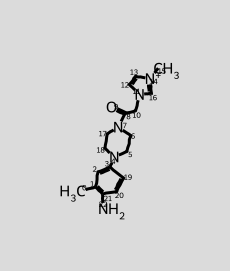 Cc1cc(N2CCN(C(=O)Cn3cc[n+](C)c3)CC2)ccc1N